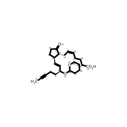 CC#CCC[C@@H](/C=C/[C@H]1CCC(=O)[C@@H]1C/C=C\CCCC(=O)O)OC1CCCCO1